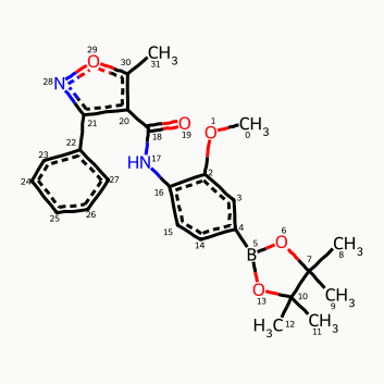 COc1cc(B2OC(C)(C)C(C)(C)O2)ccc1NC(=O)c1c(-c2ccccc2)noc1C